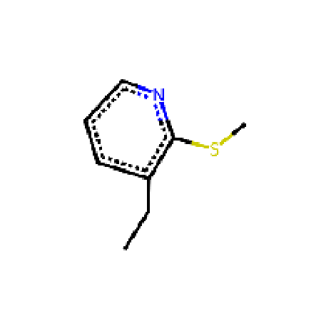 CCc1cccnc1SC